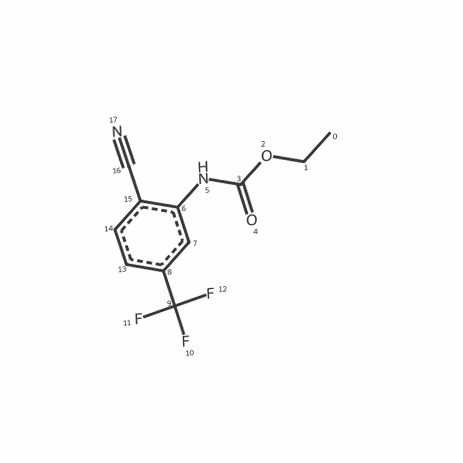 CCOC(=O)Nc1cc(C(F)(F)F)ccc1C#N